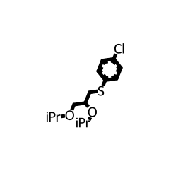 CC(C)OCC(CSc1ccc(Cl)cc1)OC(C)C